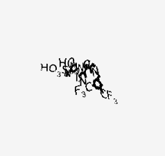 CN([C@@H]1C[C@@H](Nc2ncncc2C(=O)c2ccn(Cc3cc(C(F)(F)F)cc(C(F)(F)F)c3)c2)C[C@@H]1O)S(=O)(=O)O